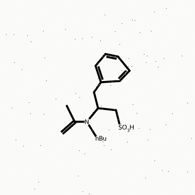 C=C(C)N(CCCC)C(Cc1ccccc1)CS(=O)(=O)O